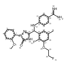 COc1ccccc1-n1nc(C(Nc2ccc(C(=N)N)cc2)c2cc(C)cc(OCCF)c2F)[nH]c1=O